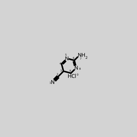 Cl.N#CC1C=NC(N)=NC1